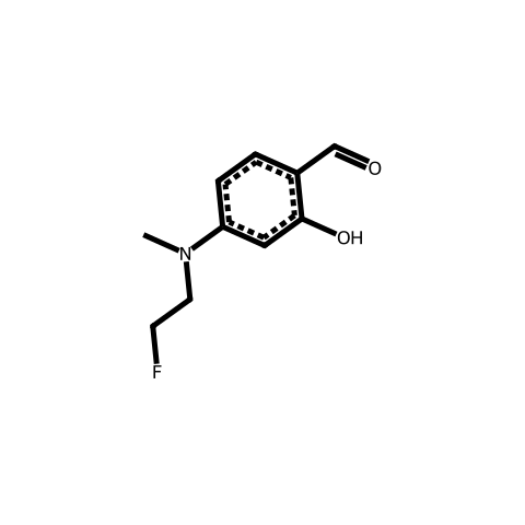 CN(CCF)c1ccc(C=O)c(O)c1